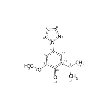 COc1cc(-n2cccn2)cn(C(C)C)c1=O